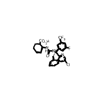 O=C(NC1CCCCC1C(=O)O)N[C@@](Cc1ccccc1)(c1cc(F)cc(C(F)(F)F)c1)c1ccc(Cl)cn1